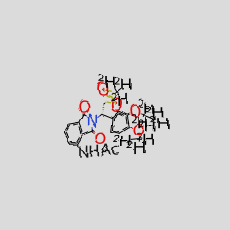 [2H]C([2H])([2H])Oc1ccc([C@@H](CS(=O)(=O)C([2H])([2H])[2H])N2C(=O)c3cccc(NC(C)=O)c3C2=O)cc1OC([2H])([2H])C([2H])([2H])[2H]